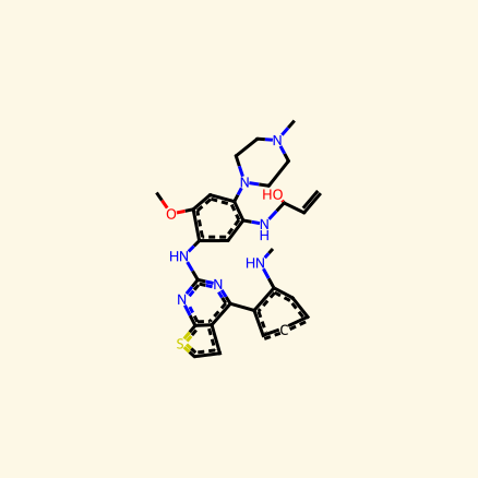 C=CC(O)Nc1cc(Nc2nc(-c3ccccc3NC)c3ccsc3n2)c(OC)cc1N1CCN(C)CC1